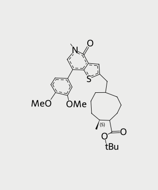 COc1ccc(-c2cn(C)c(=O)c3cc(CC4CCCC(C(=O)OC(C)(C)C)[C@@H](C)CCC4)sc23)cc1OC